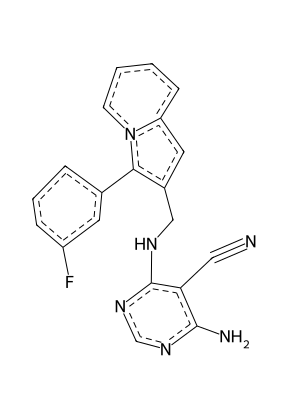 N#Cc1c(N)ncnc1NCc1cc2ccccn2c1-c1cccc(F)c1